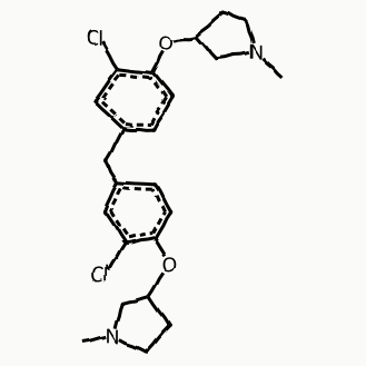 CN1CCC(Oc2ccc(Cc3ccc(OC4CCN(C)C4)c(Cl)c3)cc2Cl)C1